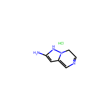 Cl.NC1=CC2=CN=CCN2N1